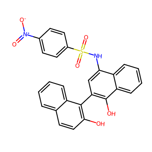 O=[N+]([O-])c1ccc(S(=O)(=O)Nc2cc(-c3c(O)ccc4ccccc34)c(O)c3ccccc23)cc1